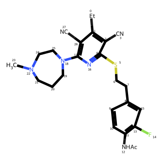 CCc1c(C#N)c(SCCc2ccc(NC(C)=O)c(F)c2)nc(N2CCCN(C)CC2)c1C#N